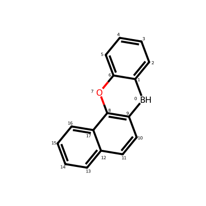 B1c2ccccc2Oc2c1ccc1ccccc21